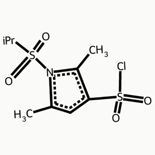 Cc1cc(S(=O)(=O)Cl)c(C)n1S(=O)(=O)C(C)C